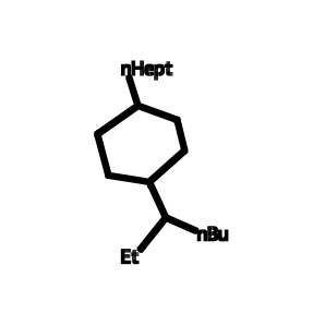 CCCCCCCC1CC[C](C(CC)CCCC)CC1